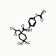 [C-]#[N+]C1(N=O)CCC(CC(CC)CC)(C(=O)Nc2ccc(SC(=O)C(C)C)cc2)CC1